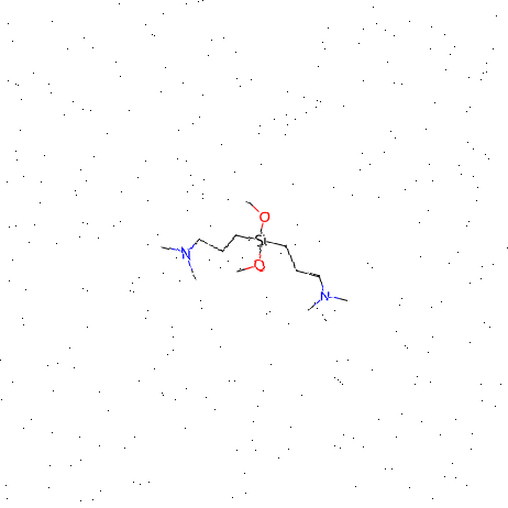 CO[Si](CCCN(C)C)(CCCN(C)C)OC